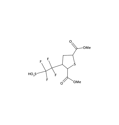 COC(=O)C1CC(C(F)(F)C(F)(F)S(=O)(=O)O)C(C(=O)OC)S1